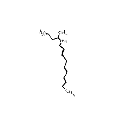 CCCCCCCCCCNC(C)CCC